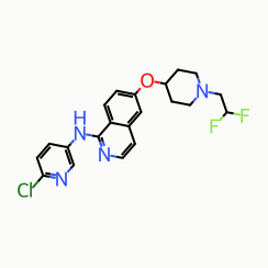 FC(F)CN1CCC(Oc2ccc3c(Nc4ccc(Cl)nc4)nccc3c2)CC1